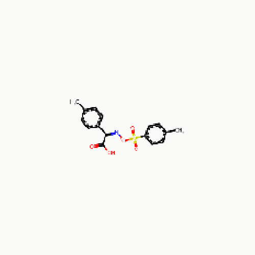 Cc1ccc(C(=NOS(=O)(=O)c2ccc(C)cc2)C(=O)O)cc1